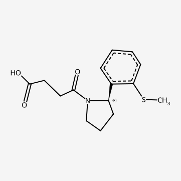 CSc1ccccc1[C@H]1CCCN1C(=O)CCC(=O)O